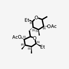 CC[C@@H]1OC(C[C@H]2[C@H](C)[C@@H](OC(C)=O)C(C)O[C@@H]2CC)[C@@H](OC(C)=O)[C@H](C)[C@@H]1C